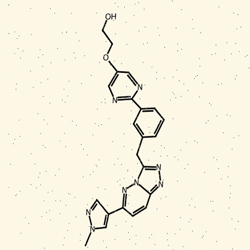 Cn1cc(-c2ccc3nnc(Cc4cccc(-c5ncc(OCCO)cn5)c4)n3n2)cn1